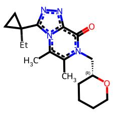 CCC1(c2nnc3c(=O)n(C[C@H]4CCCCO4)c(C)c(C)n23)CC1